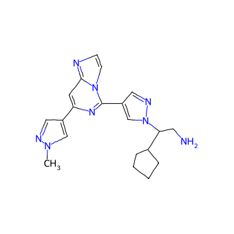 Cn1cc(-c2cc3nccn3c(-c3cnn(C(CN)C4CCCC4)c3)n2)cn1